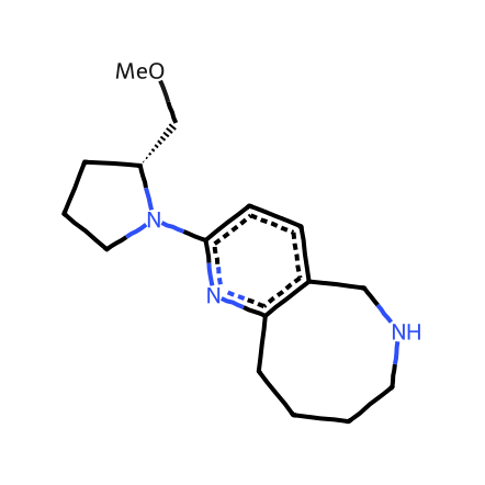 COC[C@H]1CCCN1c1ccc2c(n1)CCCCNC2